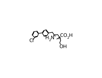 C[C@@](CCO)(C[C@H](N)Cc1ccc(-c2cccc(Cl)c2)cc1)C(=O)O